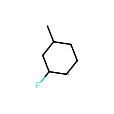 CC1CC[CH]C(F)C1